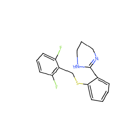 Fc1cccc(F)c1CSc1ccccc1C1=NCCCN1